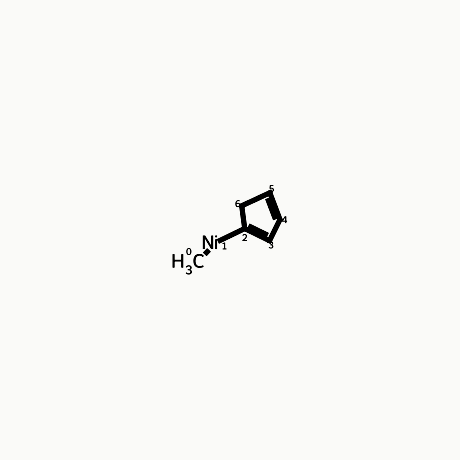 [CH3][Ni][C]1=CC=CC1